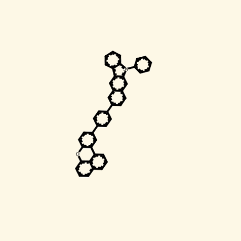 c1ccc(-n2c3ccccc3c3cc4cc(-c5ccc(-c6ccc7c(c6)-c6cccc8cccc(c68)O7)cc5)ccc4cc32)cc1